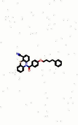 N#Cc1ccccc1Sc1ccccc1NC(=O)c1ccc(OCCCCc2ccccc2)cc1